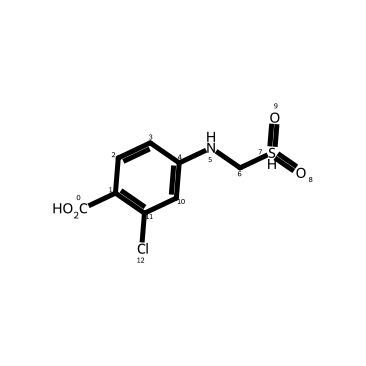 O=C(O)c1ccc(NC[SH](=O)=O)cc1Cl